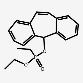 CCOP(=O)(CC)OC1c2ccccc2C=Cc2ccccc21